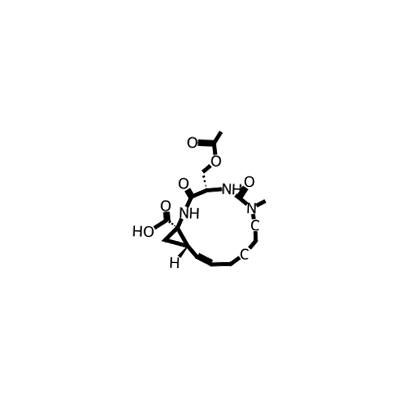 CC(=O)OC[C@@H]1NC(=O)N(C)CCCC/C=C\[C@@H]2C[C@@]2(C(=O)O)NC1=O